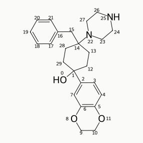 OC1(c2ccc3c(c2)OCCO3)CCC(Cc2ccccc2)(N2CCNCC2)CC1